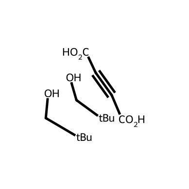 CC(C)(C)CO.CC(C)(C)CO.O=C(O)C#CC(=O)O